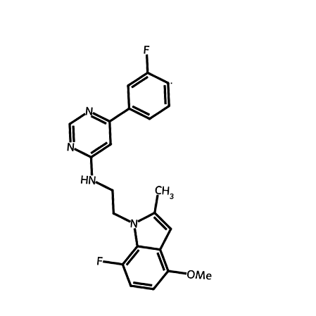 COc1ccc(F)c2c1cc(C)n2CCNc1cc(-c2cc[c]c(F)c2)ncn1